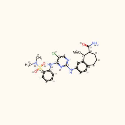 COC1c2cc(Nc3ncc(Cl)c(Nc4ccccc4S(=O)(=O)N(C)C)n3)ccc2C[CH]CC1C(N)=O